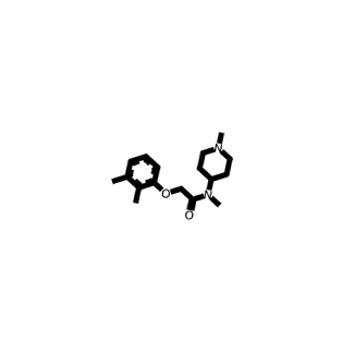 Cc1cccc(OCC(=O)N(C)C2CCN(C)CC2)c1C